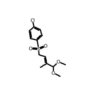 COC(OC)/C(C)=C/CS(=O)(=O)c1ccc(Cl)cc1